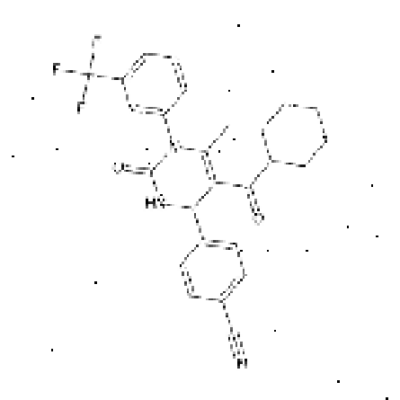 CC1=C(C(=O)C2CCCCC2)C(c2ccc(C#N)cc2)NC(=O)N1c1cccc(C(F)(F)F)c1